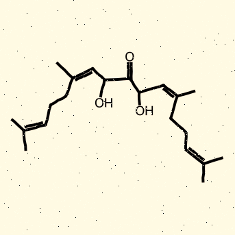 CC(C)=CCC/C(C)=C\C(O)C(=O)C(O)/C=C(/C)CCC=C(C)C